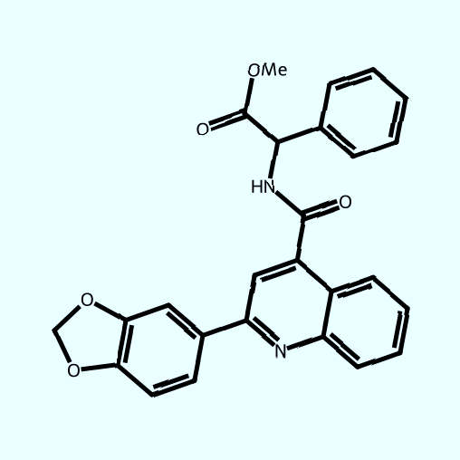 COC(=O)C(NC(=O)c1cc(-c2ccc3c(c2)OCO3)nc2ccccc12)c1ccccc1